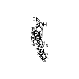 CCOC[C@@]1(O)CC[C@H]2[C@@H](CC[C@@H]3[C@@H]2CC[C@]2(C)[C@@H](C(=O)Cn4cc5ncccc5n4)CC[C@@H]32)C1